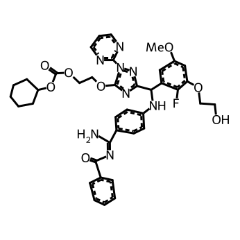 COc1cc(OCCO)c(F)c(C(Nc2ccc(C(N)=NC(=O)c3ccccc3)cc2)c2nc(OCCOC(=O)OC3CCCCC3)n(-c3ncccn3)n2)c1